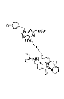 C=CC(=O)NCc1ccc(C(=O)Nc2ccccc2Oc2ccc(OCCOCCNc3nc(SCCC)nc4c3nnn4Cc3ccc(Cl)cc3)cc2)cc1